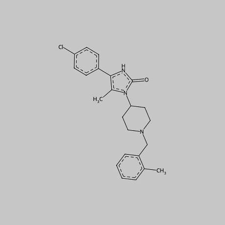 Cc1ccccc1CN1CCC(n2c(C)c(-c3ccc(Cl)cc3)[nH]c2=O)CC1